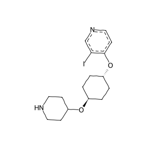 Ic1cnccc1O[C@H]1CC[C@H](OC2CCNCC2)CC1